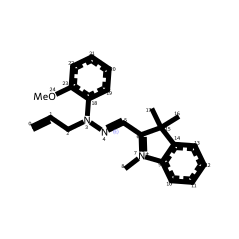 C=CCN(/N=C/C1=[N+](C)c2ccccc2C1(C)C)c1ccccc1OC